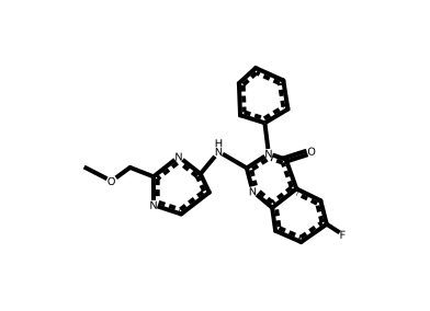 COCc1nccc(Nc2nc3ccc(F)cc3c(=O)n2-c2ccccc2)n1